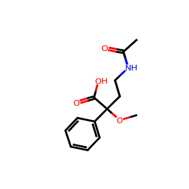 COC(CCNC(C)=O)(C(=O)O)c1ccccc1